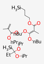 C=C(C)C(=O)OCCC.CCCCOC(OCCCC)=C(C)C(=O)OCCC[SiH3].[CH2]CC([SiH3])(OC(C)C)OC(C)C